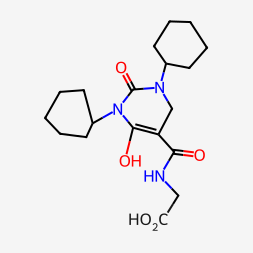 O=C(O)CNC(=O)C1=C(O)N(C2CCCCC2)C(=O)N(C2CCCCC2)C1